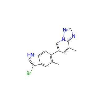 Cc1cc2c(Br)c[nH]c2cc1-c1cc(C)c2ncnn2c1